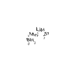 [BiH3].[LiH].[Mn].[Zn]